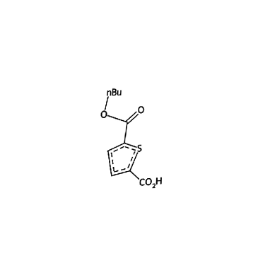 CCCCOC(=O)c1ccc(C(=O)O)s1